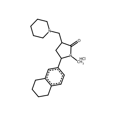 CN1C(=O)C(CN2CCCCC2)CC1c1ccc2c(c1)CCCC2.Cl